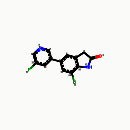 O=C1Cc2cc(-c3cncc(F)c3)cc(Cl)c2N1